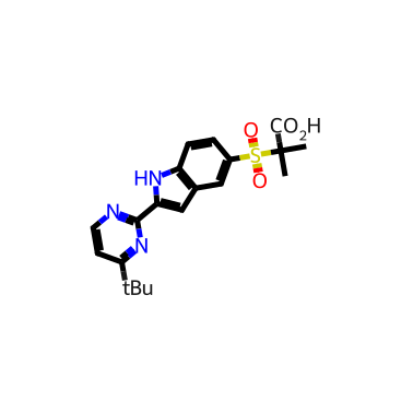 CC(C)(C)c1ccnc(-c2cc3cc(S(=O)(=O)C(C)(C)C(=O)O)ccc3[nH]2)n1